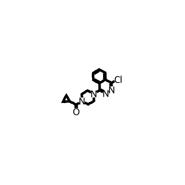 O=C(C1CC1)N1CCN(c2nnc(Cl)c3ccccc23)CC1